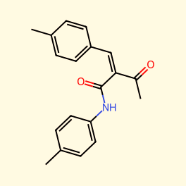 CC(=O)C(=Cc1ccc(C)cc1)C(=O)Nc1ccc(C)cc1